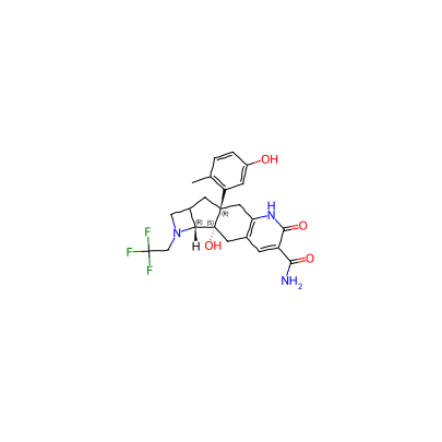 Cc1ccc(O)cc1[C@@]12Cc3[nH]c(=O)c(C(N)=O)cc3C[C@@]1(O)[C@H]1C(CN1CC(F)(F)F)C2